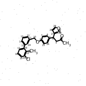 CC(=O)CC(c1ccc(OCc2cccc(-c3cccc(Cl)c3C)c2)cc1)c1ccon1